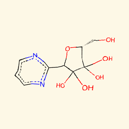 OC[C@H]1OC(c2ncccn2)C(O)(O)C1(O)O